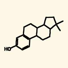 CC1(C)CCC2C3CCc4cc(O)ccc4C3CCC21